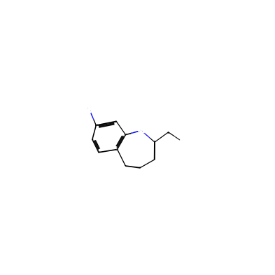 Nc1ccc2c(c1)NC(CC=O)CCC2